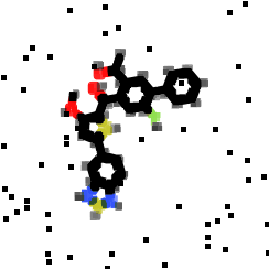 COc1cc(-c2ccc3nsnc3c2)sc1C(=O)c1cc(F)c(-c2ccccc2)cc1C(C)=O